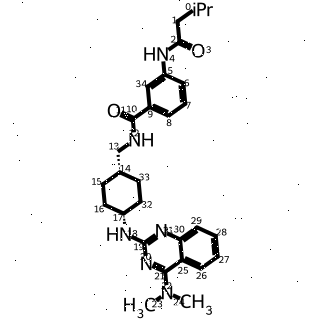 CC(C)CC(=O)Nc1cccc(C(=O)NC[C@H]2CC[C@@H](Nc3nc(N(C)C)c4ccccc4n3)CC2)c1